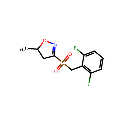 CC1CC(S(=O)(=O)Cc2c(F)cccc2F)=NO1